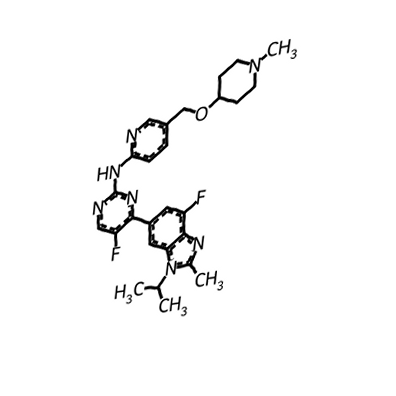 Cc1nc2c(F)cc(-c3nc(Nc4ccc(COC5CCN(C)CC5)cn4)ncc3F)cc2n1C(C)C